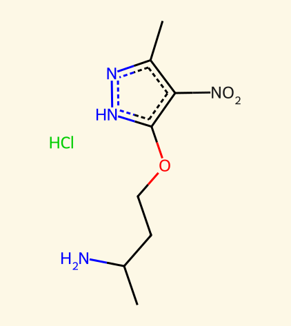 Cc1n[nH]c(OCCC(C)N)c1[N+](=O)[O-].Cl